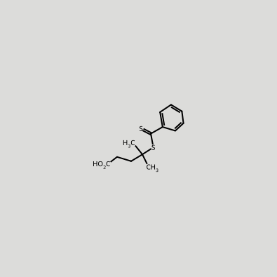 CC(C)(CCC(=O)O)SC(=S)c1ccccc1